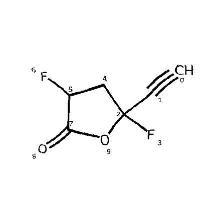 C#CC1(F)CC(F)C(=O)O1